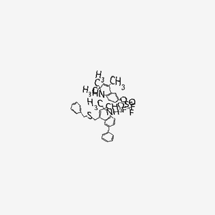 CC1(C)C=C(CSCc2ccccc2)c2cc(-c3ccccc3)ccc2N1.CC1=CC(C)(C)Nc2ccc(OS(=O)(=O)C(F)(F)F)cc21